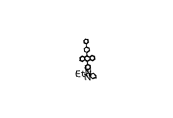 CCC1=NC2C=CC=CC2N1c1ccc(-c2c3ccccc3c(C3=CC=C(c4ccccc4)CC3)c3ccccc23)cc1